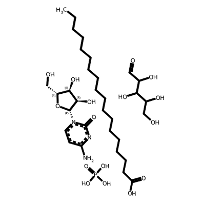 CCCCCCCCCCCCCCCCCC(=O)O.Nc1ccn([C@@H]2O[C@H](CO)[C@@H](O)[C@H]2O)c(=O)n1.O=CC(O)C(O)C(O)CO.O=P(O)(O)O